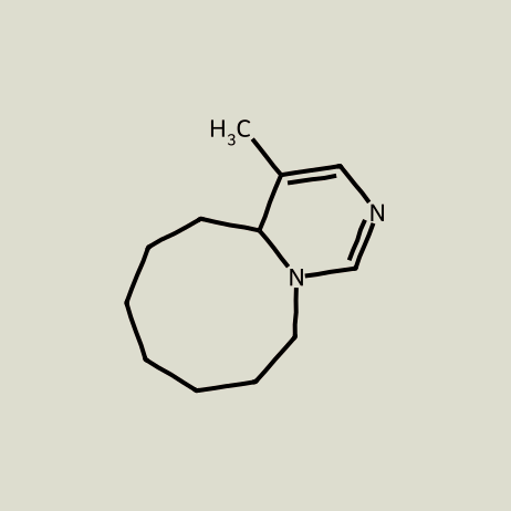 CC1=CN=CN2CCCCCCCC12